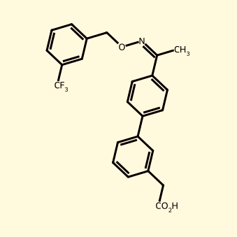 CC(=NOCc1cccc(C(F)(F)F)c1)c1ccc(-c2cccc(CC(=O)O)c2)cc1